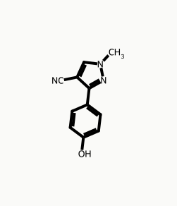 Cn1cc(C#N)c(-c2ccc(O)cc2)n1